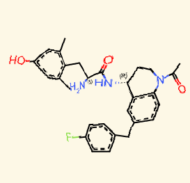 CC(=O)N1CC[C@@H](NC(=O)[C@@H](N)Cc2c(C)cc(O)cc2C)c2cc(Cc3ccc(F)cc3)ccc21